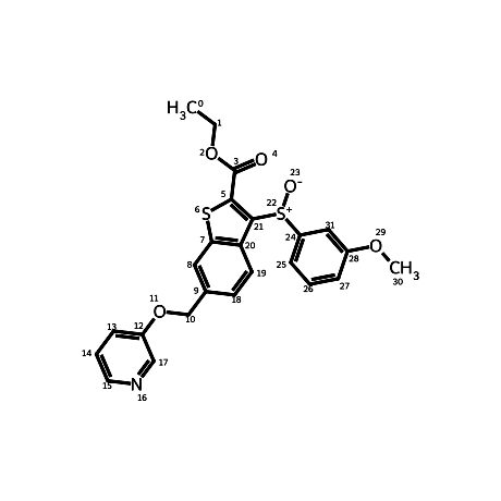 CCOC(=O)c1sc2cc(COc3cccnc3)ccc2c1[S+]([O-])c1cccc(OC)c1